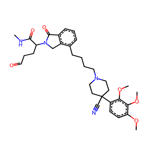 CNC(=O)C(CCC=O)N1Cc2c(CCCCN3CCC(C#N)(c4ccc(OC)c(OC)c4OC)CC3)cccc2C1=O